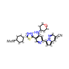 CN[C@H]1CC[C@H](c2nnc(-c3cnc(-c4ccc5cc(C#N)cnn45)cc3NC3CCOCC3)s2)CC1